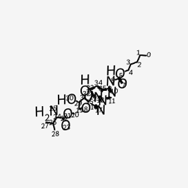 CCCCCOC(=O)Nc1ncnn2c([C@]3(C#N)O[C@H](COC(=O)[C@@H](N)C(C)C)[C@@H](O)[C@H]3O)ccc12